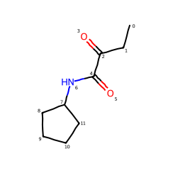 CCC(=O)C(=O)NC1CCCC1